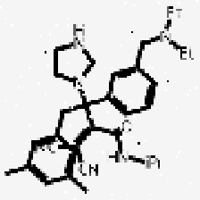 CCN(CC)Cc1cccc(C(Cc2cc(C)cc(C)c2)(C(C(=O)NC(C)C)=C(C#N)C#N)N2CCNC2)c1